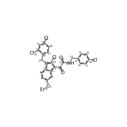 CCOc1ccc2c(c1)c(C(=O)C(=O)NCc1ccc(Cl)cc1)c(Cl)n2Cc1ccc(Cl)cc1Cl